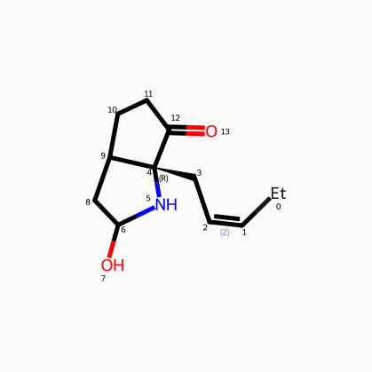 CC/C=C\C[C@@]12NC(O)CC1CCC2=O